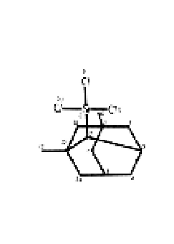 CC12CC3CC(C1)C([Si](Cl)(Cl)Cl)C(C)(C3)C2